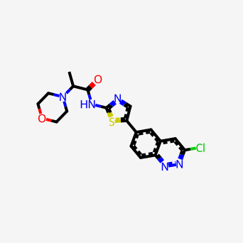 CC(C(=O)Nc1ncc(-c2ccc3nnc(Cl)cc3c2)s1)N1CCOCC1